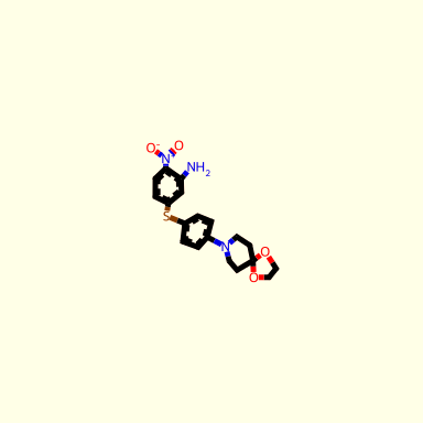 Nc1cc(Sc2ccc(N3CCC4(CC3)OCCO4)cc2)ccc1[N+](=O)[O-]